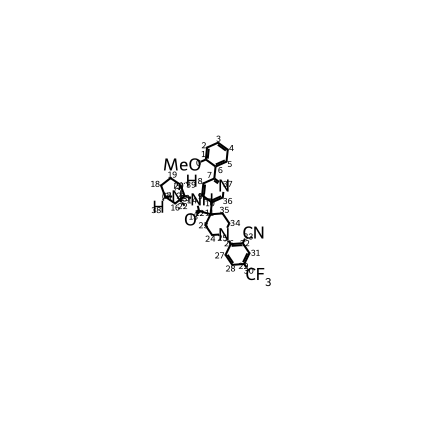 COc1ccccc1-c1ccc(C2(C(=O)N[C@H]3C[C@H]4CC[C@@H]3N4C)CCN(c3ccc(C(F)(F)F)cc3C#N)CC2)cn1